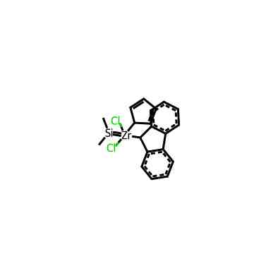 C[Si](C)=[Zr]([Cl])([Cl])([CH]1C=CC=C1)[CH]1c2ccccc2-c2ccccc21